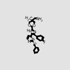 CC1(CN)COC(c2nc(-c3ccc(F)cc3)c(-c3ccnc(OCc4ccccc4)n3)[nH]2)OC1